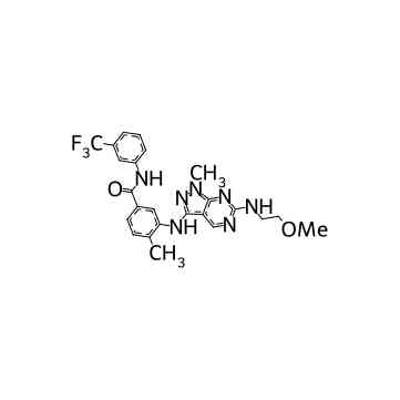 COCCNc1ncc2c(Nc3cc(C(=O)Nc4cccc(C(F)(F)F)c4)ccc3C)nn(C)c2n1